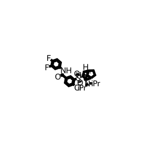 CC(C)N(C[C@@]1(O)C2CC[C@H]1C[C@H](S(=O)(=O)c1cc(C(=O)Nc3ccc(F)c(F)c3)ccc1Cl)C2)C(C)C